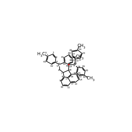 Cc1ccc(P(CC2c3cccc4cccc(c34)C2CP(c2ccc(C)cc2)c2ccc(C)cc2)c2ccc(C)cc2)cc1